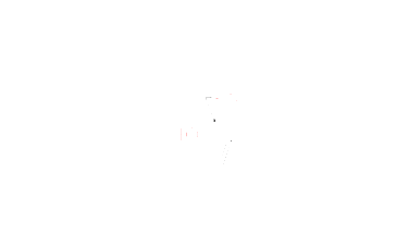 C=CC1(O)OC1C